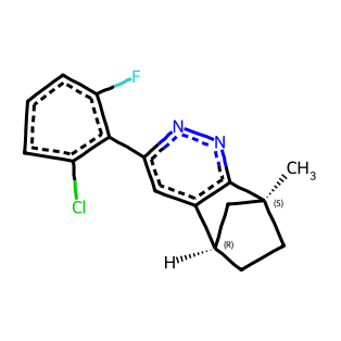 C[C@]12CC[C@H](C1)c1cc(-c3c(F)cccc3Cl)nnc12